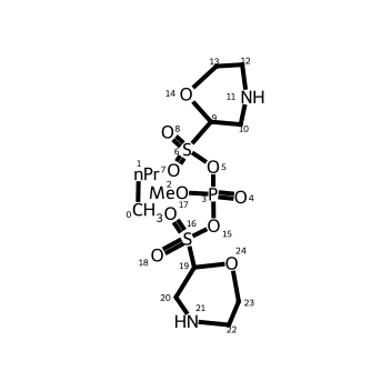 CCCC.COP(=O)(OS(=O)(=O)C1CNCCO1)OS(=O)(=O)C1CNCCO1